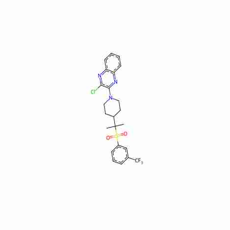 CC(C)(C1CCN(c2nc3ccccc3nc2Cl)CC1)S(=O)(=O)c1cccc(C(F)(F)F)c1